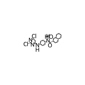 O=C(Nc1ccc(Nc2cc(Cl)nc(Cl)n2)cc1)c1ccc2ccccc2c1O